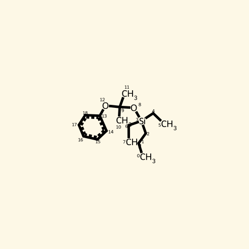 CCC[Si](CC)(CC)OC(C)(C)Oc1ccccc1